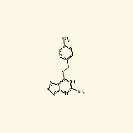 Nc1nc2ncnc-2c(SCc2ccc([N+](=O)[O-])cc2)[nH]1